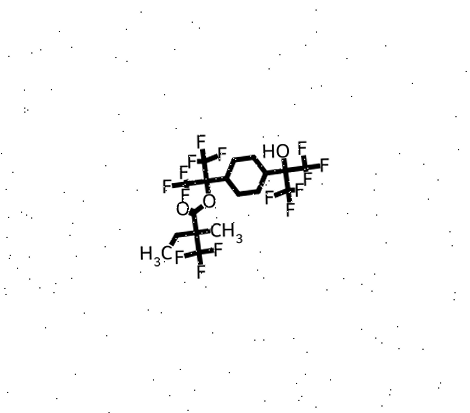 CCC(C)(C(=O)OC(C1CCC(C(O)(C(F)(F)F)C(F)(F)F)CC1)(C(F)(F)F)C(F)(F)F)C(F)(F)F